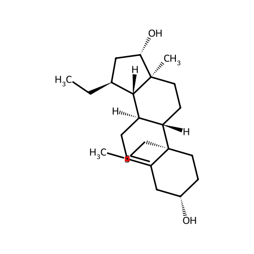 CC[C@H]1C[C@H](O)[C@@]2(C)CC[C@H]3[C@@H](CC=C4C[C@@H](O)CC[C@@]43CSC)[C@H]12